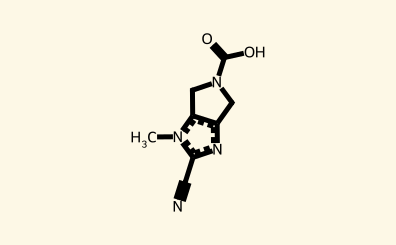 Cn1c(C#N)nc2c1CN(C(=O)O)C2